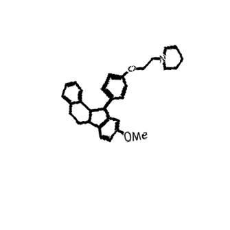 COc1ccc2c(c1)C(c1ccc(OCCN3CCCCC3)cc1)C1c3ccccc3CCC21